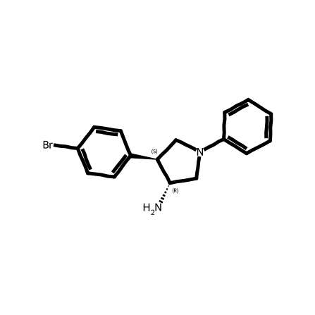 N[C@H]1CN(c2ccccc2)C[C@@H]1c1ccc(Br)cc1